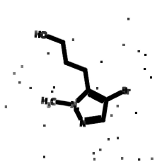 Cn1ncc(Br)c1CCCO